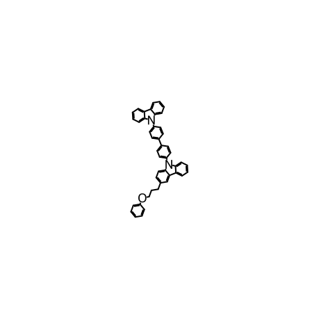 c1ccc(OCCCc2ccc3c(c2)c2ccccc2n3-c2ccc(-c3ccc(-n4c5ccccc5c5ccccc54)cc3)cc2)cc1